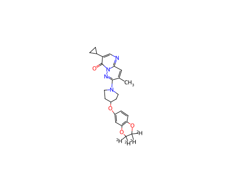 [2H]C1([2H])Oc2ccc(OC3CCN(c4nn5c(=O)c(C6CC6)cnc5cc4C)CC3)cc2OC1([2H])[2H]